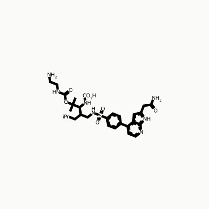 CC(C)CC(CNS(=O)(=O)c1ccc(-c2ccnc3[nH]c(CC(N)=O)cc23)cc1)C(NC(=O)O)C(C)(C)OC(=O)NCCN